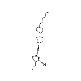 CCCCCCc1ccc([C@H]2CC[C@H](C#Cc3ccc(CCC)c(C#N)c3)CC2)cc1